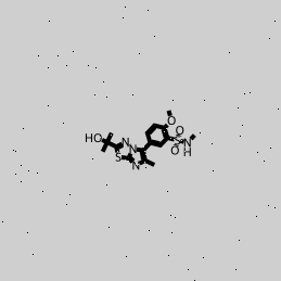 CNS(=O)(=O)c1cc(-c2c(C)nc3sc(C(C)(C)O)nn23)ccc1OC